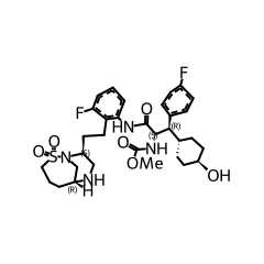 COC(=O)N[C@H](C(=O)Nc1cccc(F)c1CC[C@H]1CN[C@@H]2CCCS(=O)(=O)N1C2)[C@@H](c1ccc(F)cc1)[C@H]1CC[C@H](O)CC1